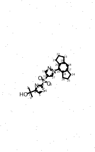 CC(C)(O)c1csc(S(=O)(=O)c2cnn(-c3c4c(cc5c3CCC5)CCC4)c2)n1